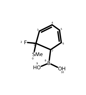 CSC1(F)C=CC=CC1B(O)O